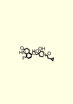 O=C1CCc2c(OC[C@]3(O)CCN(C(=O)CC4CC4)C[C@H]3O)ccc(F)c2N1